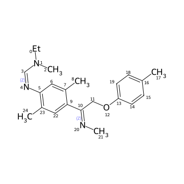 CCN(C)/C=N\c1cc(C)c(/C(COc2ccc(C)cc2)=N/C)cc1C